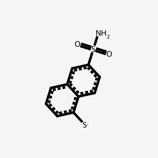 NS(=O)(=O)c1ccc2c([S])cccc2c1